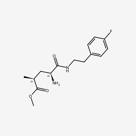 COC(=O)[C@@H](C)C[C@H](N)C(=O)NCCc1ccc(F)cc1